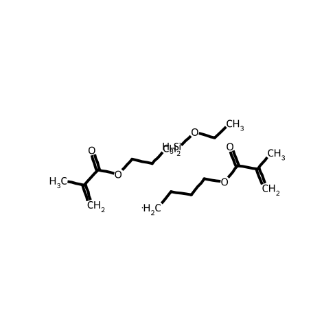 CCO[SiH3].[CH2]CCCOC(=O)C(=C)C.[CH2]CCOC(=O)C(=C)C